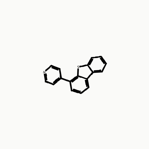 [c]1ccc2c(c1)sc1c(-c3ccncc3)cccc12